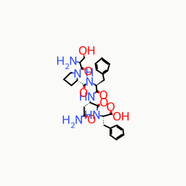 NC(=O)C[C@H](NC(=O)[C@H](Cc1ccccc1)NC(=O)[C@@H]1CCCN1C(=O)[C@@H](N)CO)C(=O)N[C@@H](Cc1ccccc1)C(=O)O